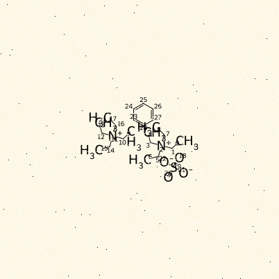 CC[N+](CC)(CC)CC.CC[N+](CC)(CC)CC.O=S(=O)([O-])[O-].c1ccccc1